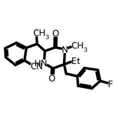 CCC1(Cc2ccc(F)cc2)C(=O)NC(C(C)c2ccccc2C#N)C(=O)N1C